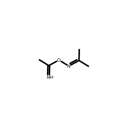 CC(=N)ON=C(C)C